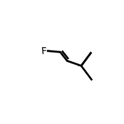 C[C](C)C=CF